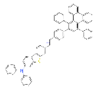 C1=CCC(c2c(-c3ccc(/C=C/c4ccc5c(c4)sc4cc(N(c6ccccc6)c6ccccc6)ccc45)cc3)cc(-c3ccccc3)c3c4ccccc4c4ccccc4c23)C=C1